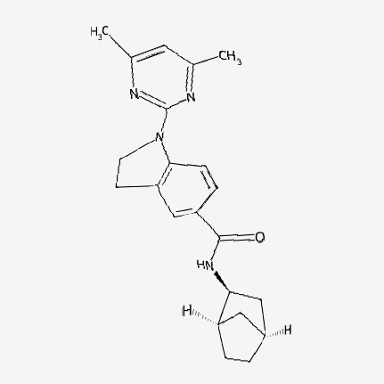 Cc1cc(C)nc(N2CCc3cc(C(=O)N[C@H]4C[C@H]5CC[C@@H]4C5)ccc32)n1